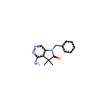 CC1(C)C(=O)N(Cc2ccccc2)c2cnnc(N)c21